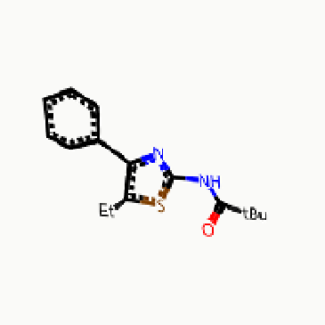 CCc1sc(NC(=O)C(C)(C)C)nc1-c1ccccc1